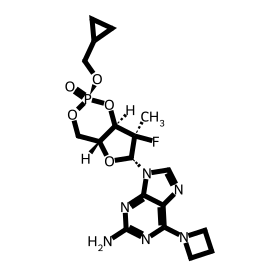 C[C@@]1(F)[C@@H]2O[P@](=O)(OCC3CC3)OC[C@H]2O[C@H]1n1cnc2c(N3CCC3)nc(N)nc21